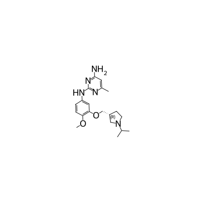 COc1ccc(Nc2nc(C)cc(N)n2)cc1OC[C@@H]1CCN(C(C)C)C1